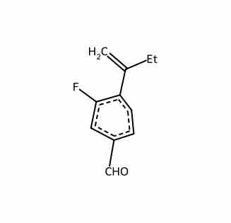 C=C(CC)c1ccc(C=O)cc1F